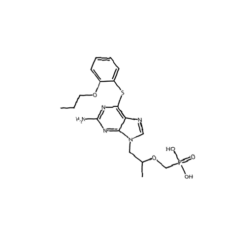 CCCOc1ccccc1Sc1nc(N)nc2c1ncn2CC(C)OCP(=O)(O)O